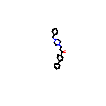 O=C(CCN1CCN(Cc2ccccc2)CC1)c1ccc(-c2ccccc2)cc1